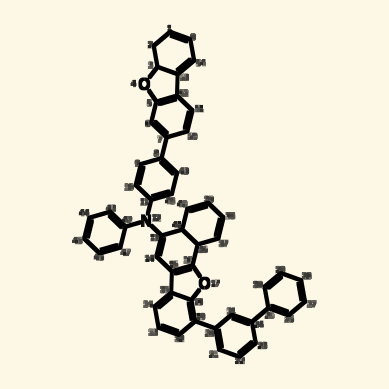 C1=CCC2Oc3cc(-c4ccc(N(C5=Cc6c(oc7c(-c8cccc(-c9ccccc9)c8)cccc67)C6C=CC=CC56)c5ccccc5)cc4)ccc3C2=C1